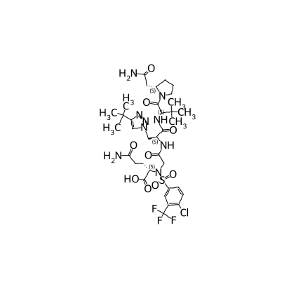 CC(C)(C)c1cn(C[C@H](NC(=O)CN([C@@H](CCC(N)=O)C(=O)O)S(=O)(=O)c2ccc(Cl)c(C(F)(F)F)c2)C(=O)N[C@H](C(=O)N2CCC[C@H]2CC(N)=O)C(C)(C)C)nn1